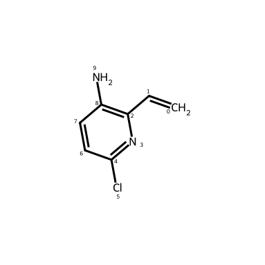 C=Cc1nc(Cl)ccc1N